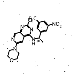 C[C@@H](Nc1nc(Cl)nc2cnc(N3CCOCC3)cc12)c1cc([N+](=O)[O-])cc(C(F)(F)F)c1